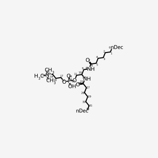 CCCCCCCCCCCCCCCC(=O)NCC(COP(=O)(O)OCCC[N+](C)(C)C)NC(=O)CCCCCCCCCCCCCCC